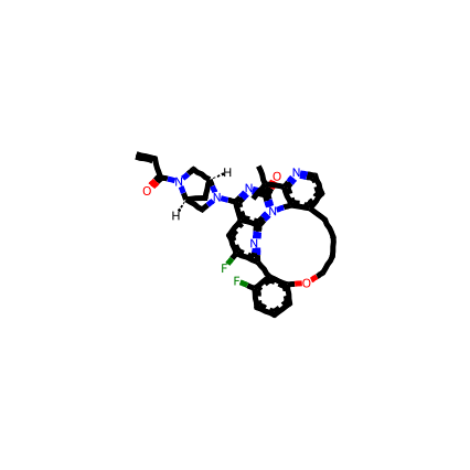 C=CC(=O)N1C[C@@H]2C[C@H]1CN2c1nc(=O)n2c3nc(c(F)cc13)-c1c(F)cccc1OCCCCc1ccnc(C(C)C)c1-2